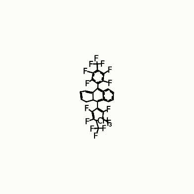 CC(/C(F)=C(F)\C(C1=c2ccccc2=C(c2c(F)c(F)c(C(F)(F)F)c(F)c2F)C2=CC=CCC21)=C(\F)CF)C(F)(F)F